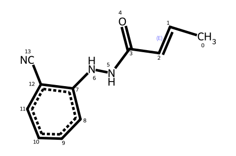 C/C=C/C(=O)NNc1ccccc1C#N